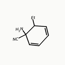 CCC1C=CC=CC1(N)C#N